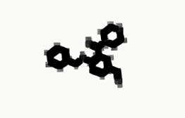 O=Cc1ccc(OCc2ccccc2)c(C(=O)N2CCOCC2)c1